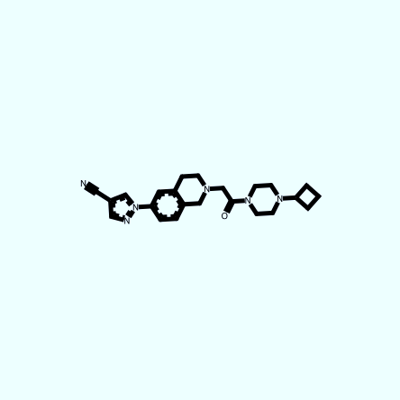 N#Cc1cnn(-c2ccc3c(c2)CCN(CC(=O)N2CCN(C4CCC4)CC2)C3)c1